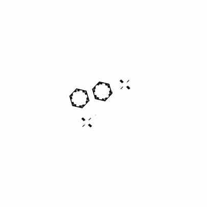 O=S(=O)(O)O.O=S(=O)(O)O.c1ccccc1.c1ccccc1